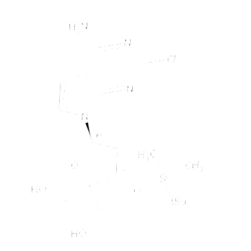 CC(C)(C)[Si](C)(C)O[C@H]1C[C@H](n2ccc3c(N)nc(Cl)nc32)OC1(CO)CO